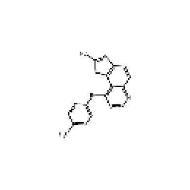 Cc1ccc(Nc2ncnc3ccc4nc(C#N)sc4c23)cc1